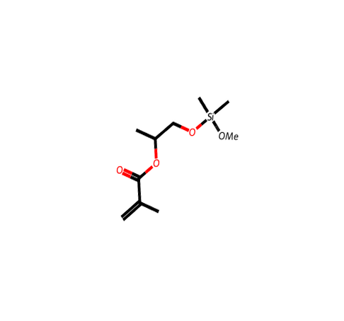 C=C(C)C(=O)OC(C)CO[Si](C)(C)OC